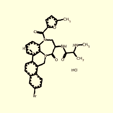 CNC(C)C(=O)NC1CN(C(=O)c2ccc(C)o2)c2ccccc2N(Cc2c(OC)ccc3cc(Br)ccc23)C1=O.Cl